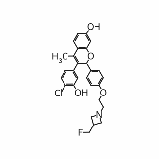 CC1=C(c2ccc(Cl)c(O)c2)C(c2ccc(OCCN3CC(CF)C3)cc2)Oc2cc(O)ccc21